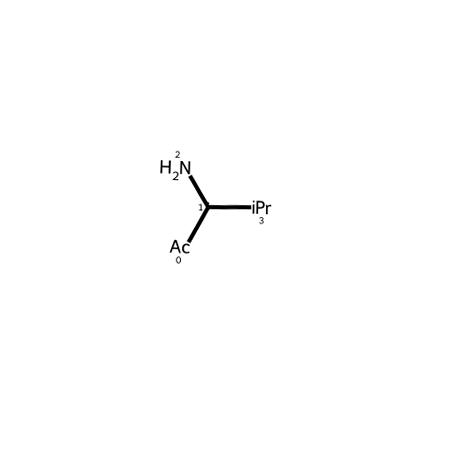 CC(=O)[C](N)C(C)C